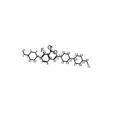 CCC1CCC(c2ccc3cc(C4CCC(C5CCC(CC)CC5)CC4)oc(=O)c3c2F)CC1